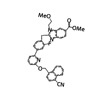 COCCn1c(Cc2ccc(-c3cccc(OCc4ccc(C#N)c5ccccc45)n3)cc2F)nc2ccc(C(=O)OC)cc21